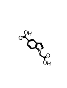 O=C(O)Cn1ccc2cc(C(=O)O)ccc21